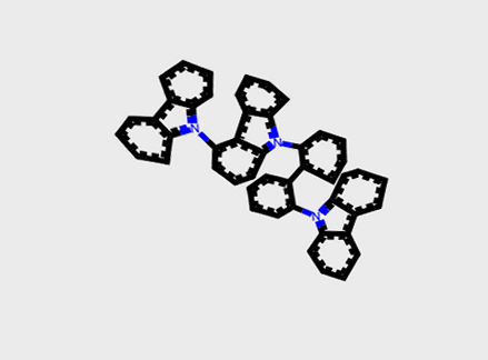 c1ccc(-n2c3ccccc3c3ccccc32)c(-c2ccccc2-n2c3ccccc3c3c(-n4c5ccccc5c5ccccc54)cccc32)c1